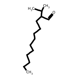 CCCCCCCCCCC([C]=O)C(C)C